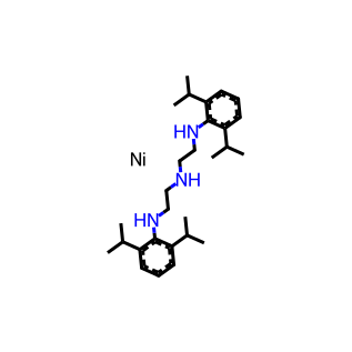 CC(C)c1cccc(C(C)C)c1NCCNCCNc1c(C(C)C)cccc1C(C)C.[Ni]